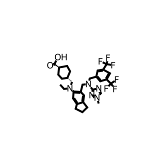 CCN(C[C@H]1CC[C@H](C(=O)O)CC1)c1cc2c(cc1CN(Cc1cc(C(F)(F)F)cc(C(F)(F)F)c1)c1ncn(C)n1)CCC2